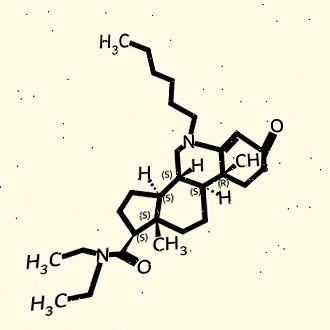 CCCCCCN1C[C@H]2[C@@H]3CC[C@H](C(=O)N(CC)CC)[C@@]3(C)CC[C@@H]2[C@@]2(C)CCC(=O)C=C12